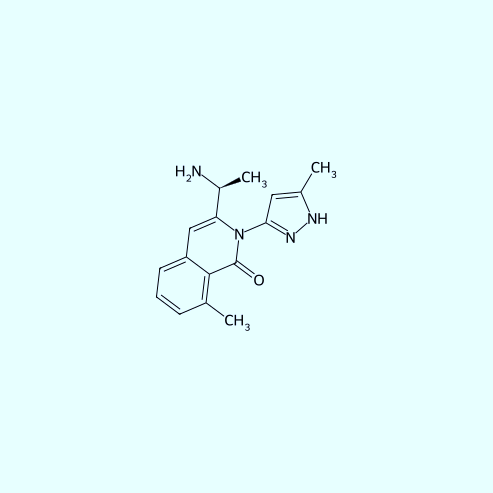 Cc1cc(-n2c([C@H](C)N)cc3cccc(C)c3c2=O)n[nH]1